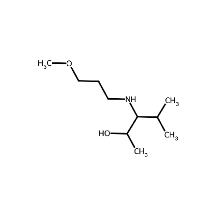 COCCCNC(C(C)C)C(C)O